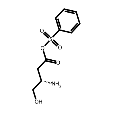 N[C@H](CO)CC(=O)OS(=O)(=O)c1ccccc1